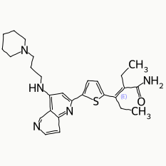 CC/C(C(N)=O)=C(/CC)c1ccc(-c2cc(NCCCN3CCCCC3)c3cnccc3n2)s1